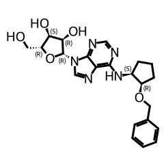 OC[C@H]1O[C@@H](n2cnc3c(N[C@H]4CCC[C@H]4OCc4ccccc4)ncnc32)[C@H](O)[C@@H]1O